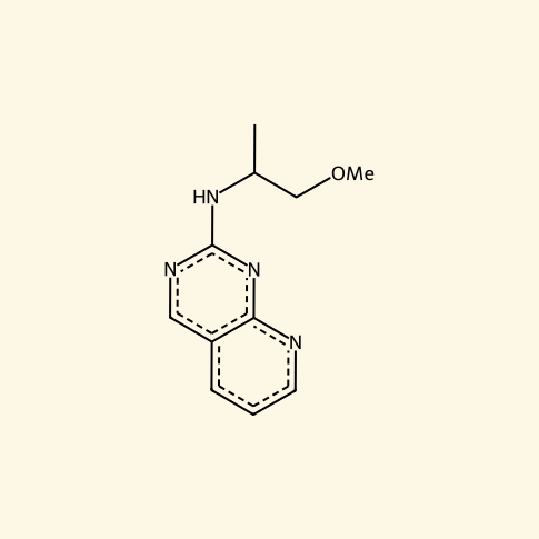 COCC(C)Nc1ncc2cccnc2n1